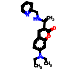 C=C(NCc1ccccn1)c1cc2ccc(N(CC)CC)cc2oc1=O